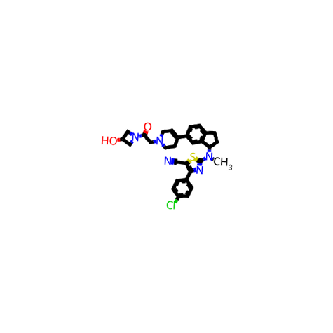 CN(c1nc(-c2ccc(Cl)cc2)c(C#N)s1)C1CCc2ccc(C3=CCN(CC(=O)N4CC(O)C4)CC3)cc21